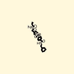 C=CC(=O)NC1CC2CN(S(=O)(=O)c3ccc(C(=O)NCCC4CCCCC4)cc3)CC2O1